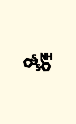 CNCc1ccccc1Sc1csc2ccccc12